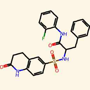 O=C1CCc2cc(S(=O)(=O)NC(Cc3ccccc3)C(=O)Nc3ccccc3F)ccc2N1